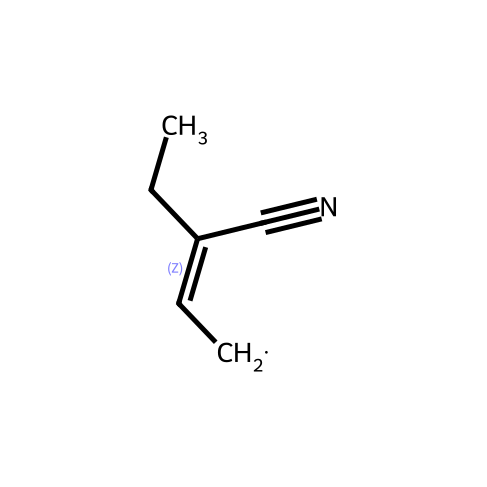 [CH2]/C=C(\C#N)CC